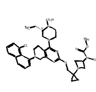 CN(C(=O)OC(C)(C)C)C1CN(C2(COc3nc4c(c(N5CCN(C(=O)O)[C@@H](CC#N)C5)n3)CCN(c3cccc5cccc(Cl)c35)C4)CC2)C1